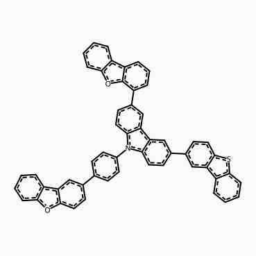 c1ccc2c(c1)oc1ccc(-c3ccc(-n4c5ccc(-c6ccc7sc8ccccc8c7c6)cc5c5cc(-c6cccc7c6oc6ccccc67)ccc54)cc3)cc12